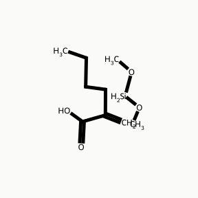 C=C(CCCC)C(=O)O.CO[SiH2]OC